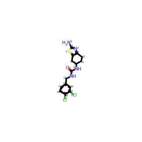 Nc1nc2c(s1)CC(NC(=O)NCc1ccc(Cl)c(Cl)c1)CC2